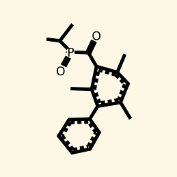 Cc1cc(C)c(-c2ccccc2)c(C)c1C(=O)[P](=O)C(C)C